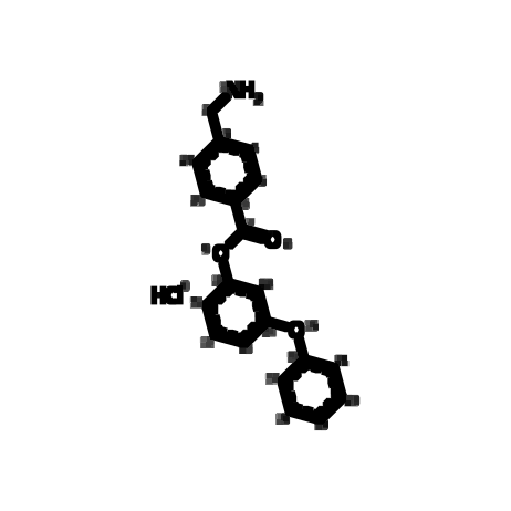 Cl.NCc1ccc(C(=O)Oc2cccc(Oc3ccccc3)c2)cc1